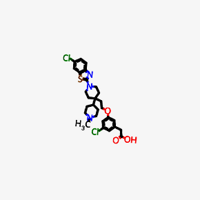 CN1CCC(C2(CCOc3cc(Cl)cc(CC(=O)O)c3)CCN(c3nc4ccc(Cl)cc4s3)CC2)CC1